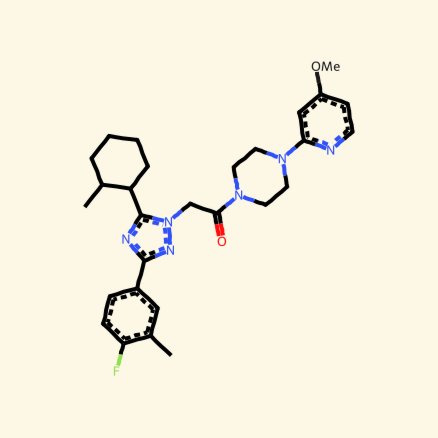 COc1ccnc(N2CCN(C(=O)Cn3nc(-c4ccc(F)c(C)c4)nc3C3CCCCC3C)CC2)c1